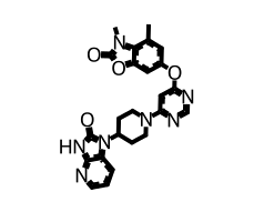 Cc1cc(Oc2cc(N3CCC(n4c(=O)[nH]c5ncccc54)CC3)ncn2)cc2oc(=O)n(C)c12